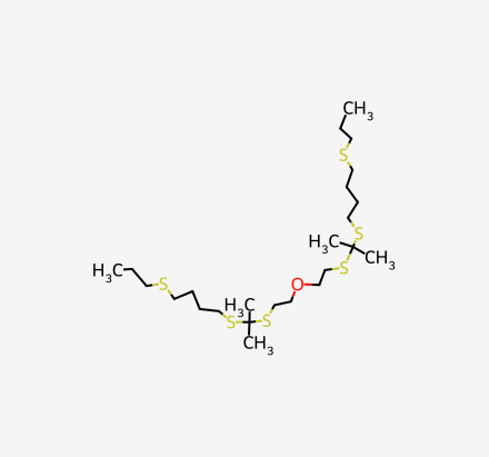 CCCSCCCCSC(C)(C)SCCOCCSC(C)(C)SCCCCSCCC